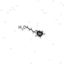 CCCCCC.[CH]12[CH]3[CH]4[CH]5[CH]1[Ru]23451678[CH]2[CH]1[CH]6[CH]7[CH]28